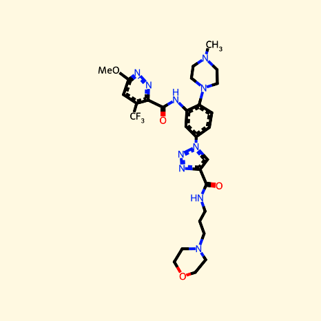 COc1cc(C(F)(F)F)c(C(=O)Nc2cc(-n3cc(C(=O)NCCCN4CCOCC4)nn3)ccc2N2CCN(C)CC2)nn1